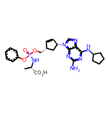 C[C@H](N[P@@](=O)(OC[C@@H]1C=C[C@H](n2cnc3c(NC4CCCC4)nc(N)nc32)C1)Oc1ccccc1)C(=O)O